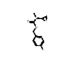 CN(C(=O)OCc1ccc(F)cc1)C1CO1